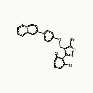 CC(C)c1onc(-c2c(Cl)cccc2Cl)c1COc1ccc(-c2ccc3ncccc3c2)cc1